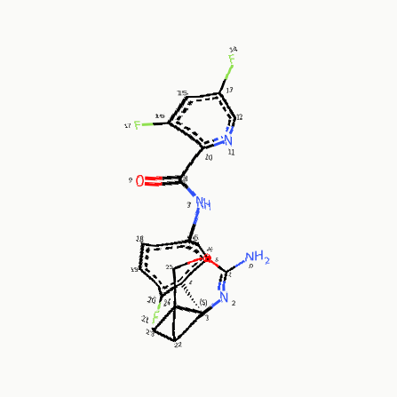 NC1=N[C@@]2(c3cc(NC(=O)c4ncc(F)cc4F)ccc3F)C3CC32CO1